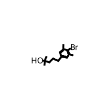 Cc1cc(CCCC(C)(C)O)cc(C)c1Br